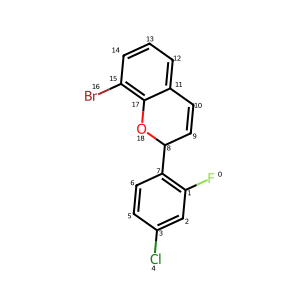 Fc1cc(Cl)ccc1C1C=Cc2cccc(Br)c2O1